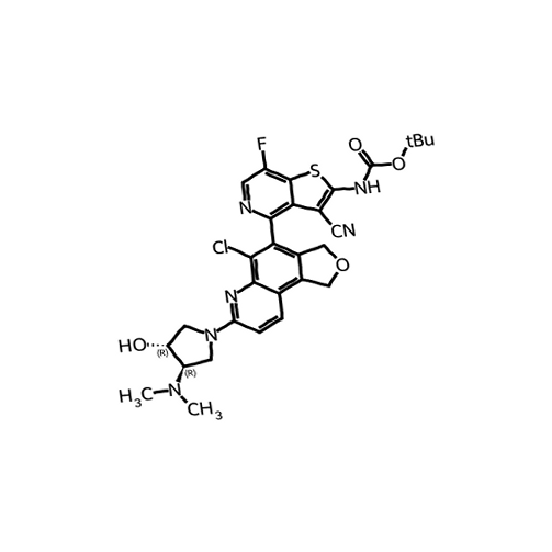 CN(C)[C@@H]1CN(c2ccc3c4c(c(-c5ncc(F)c6sc(NC(=O)OC(C)(C)C)c(C#N)c56)c(Cl)c3n2)COC4)C[C@H]1O